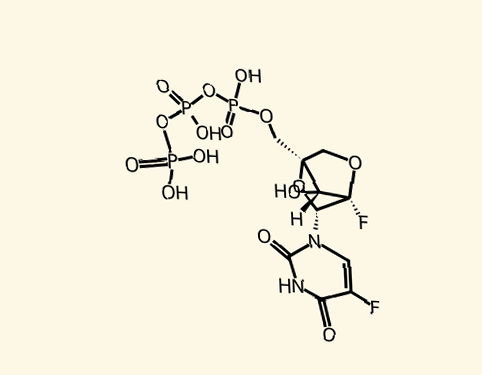 O=c1[nH]c(=O)n([C@@H]2O[C@@]3(COP(=O)(O)OP(=O)(O)OP(=O)(O)O)CO[C@]2(F)[C@@H]3O)cc1F